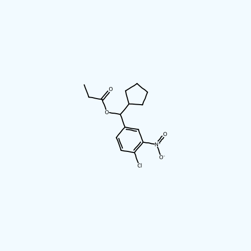 CCC(=O)OC(c1ccc(Cl)c([N+](=O)[O-])c1)C1CCCC1